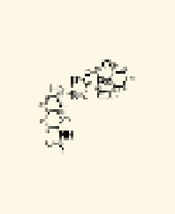 CC(=O)NC1CCc2ccc(Nc3ncc4c(n3)OCN(c3c(Cl)cccc3Cl)C4=O)cc2C1